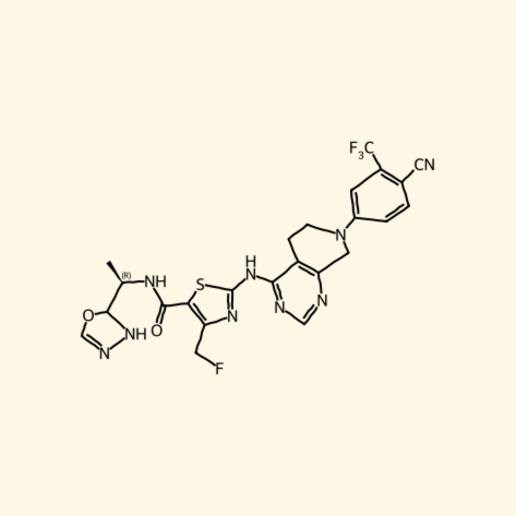 C[C@@H](NC(=O)c1sc(Nc2ncnc3c2CCN(c2ccc(C#N)c(C(F)(F)F)c2)C3)nc1CF)C1NN=CO1